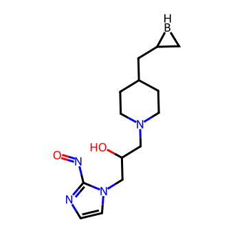 O=Nc1nccn1CC(O)CN1CCC(CC2BC2)CC1